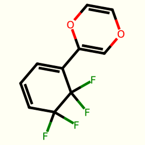 FC1(F)C=CC=C(C2=COC=CO2)C1(F)F